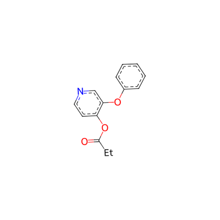 CCC(=O)Oc1ccncc1Oc1ccccc1